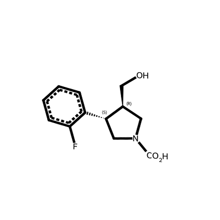 O=C(O)N1C[C@H](CO)[C@@H](c2ccccc2F)C1